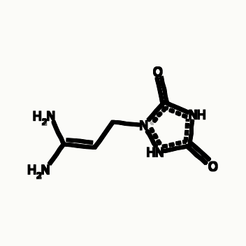 NC(N)=CCn1[nH]c(=O)[nH]c1=O